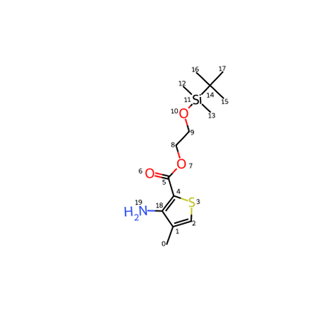 Cc1csc(C(=O)OCCO[Si](C)(C)C(C)(C)C)c1N